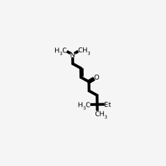 CCC(C)(C)CCC(=O)/C=C/CN(C)C